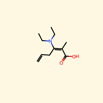 C=CCC(=C(C)C(=O)O)N(CC)CC